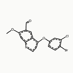 COc1cc2nccc(Oc3ccc(Br)c(Cl)c3)c2cc1C=O